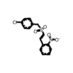 O=[N+]([O-])c1ccccc1C=CS(=O)(=O)Cc1ccc(Cl)cc1